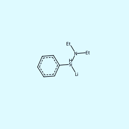 [Li][SiH](c1ccccc1)N(CC)CC